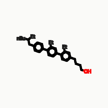 CCCCC(CC)Cc1ccc(-c2ccc(-c3ccc(CCCCO)cc3CC)cc2CC)cc1